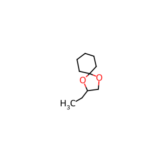 CCC1COC2(CCCCC2)O1